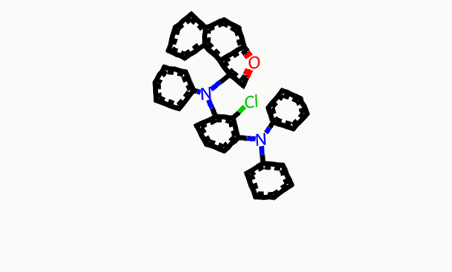 Clc1c(N(c2ccccc2)c2ccccc2)cccc1N(c1ccccc1)c1coc2ccc3ccccc3c12